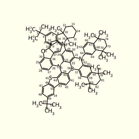 CC(C)(C)c1ccc2c(c1)C1(C)CCCCC1(C)N2c1cc2c3c(c1)N(c1cccc4oc5ccccc5c14)c1c(ccc4c1sc1ccc(C(C)(C)C)cc14)B3c1cc3c(cc1N2c1ccc2c(c1)C(C)(C)CCC2(C)C)C(C)(C)CCC3(C)C